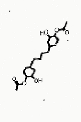 CC(=O)OC1CCC(CCCCC2CCC(OC(C)=O)C(O)C2)CC1O